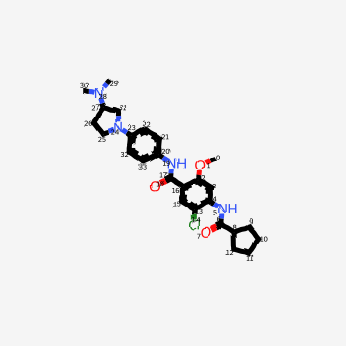 COc1cc(NC(=O)C2CCCC2)c(Cl)cc1C(=O)Nc1ccc(N2CCC(N(C)C)C2)cc1